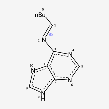 CCCC/C=N/c1ncnc2[nH]cnc12